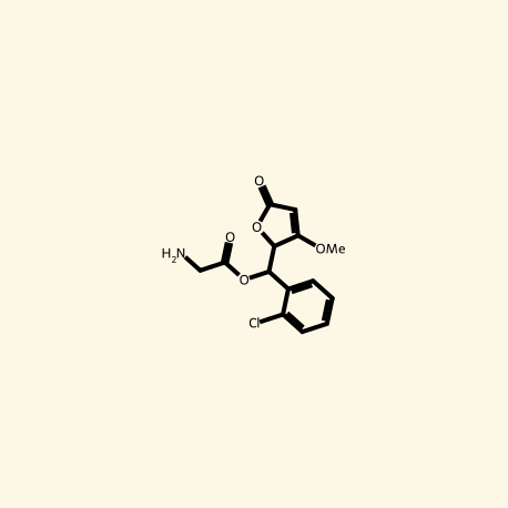 COC1=CC(=O)OC1C(OC(=O)CN)c1ccccc1Cl